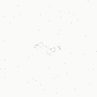 Cc1cc2cc(Nc3ccnc4cc(C(=O)N5CC5)sc34)ccc2[nH]1